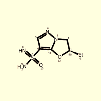 CC[C@@H]1Cn2ncc(S(=N)(N)=O)c2O1